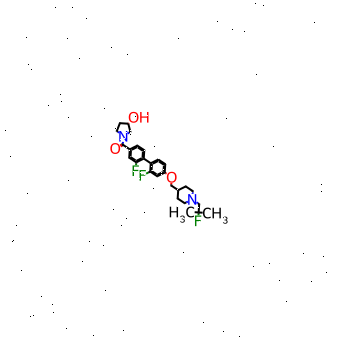 CC(C)(F)CN1CCC(COc2ccc(-c3ccc(C(=O)N4CCC(O)C4)cc3F)c(F)c2)CC1